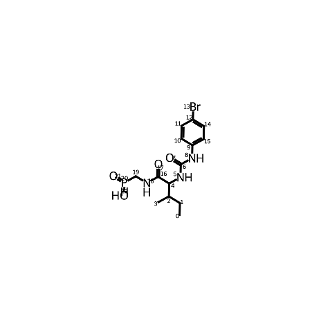 CCC(C)C(NC(=O)Nc1ccc(Br)cc1)C(=O)NC[PH](=O)O